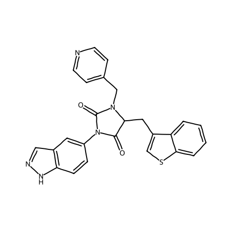 O=C1C(Cc2csc3ccccc23)N(Cc2ccncc2)C(=O)N1c1ccc2[nH]ncc2c1